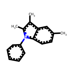 Cc1ccc2c(c1)c(C)c(C)n2-c1ccccc1